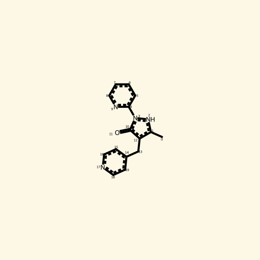 Cc1[nH]n(-c2ccccn2)c(=O)c1Cc1ccncc1